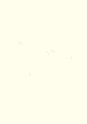 COc1ccc(-n2nc(CO)c(Cl)c2-c2ccc(C)cc2)cc1